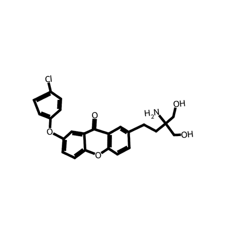 NC(CO)(CO)CCc1ccc2oc3ccc(Oc4ccc(Cl)cc4)cc3c(=O)c2c1